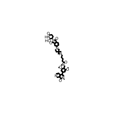 COc1cc(-c2cn(C)c(=O)c3cnccc23)cc(OC)c1CN(C)C(=O)CCCCN1CC2(CCN(c3ccc4c(c3)C(=O)N(C3CCC(=O)NC3O)C4=O)C2)C1